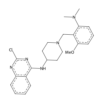 COc1cccc(N(C)C)c1CN1CCC(Nc2nc(Cl)nc3ccccc23)CC1